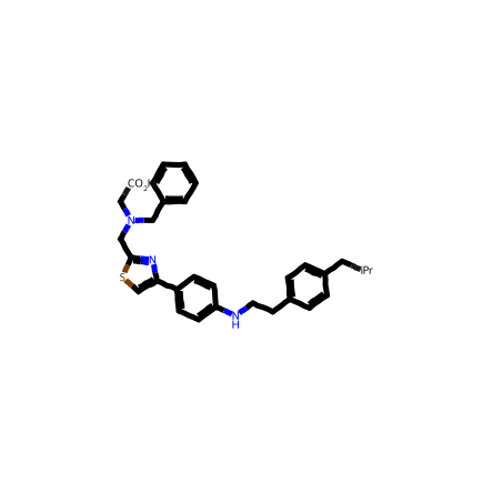 CC(C)Cc1ccc(CCNc2ccc(-c3csc(CN(CC(=O)O)Cc4ccccc4)n3)cc2)cc1